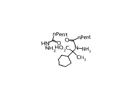 CCCCCC(=O)N(N)C(C)(C(=O)O)C1CCCCC1.CCCCCC(=O)NN